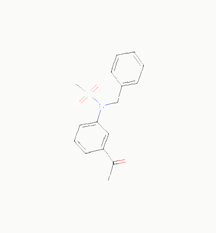 CC(=O)c1cccc(N(Cc2ccccc2)S(C)(=O)=O)c1